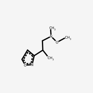 CON(C)CC(C)c1ccon1